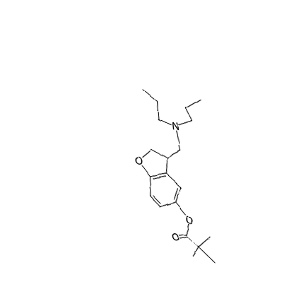 CCCN(CCC)CC1COc2ccc(OC(=O)C(C)(C)C)cc21